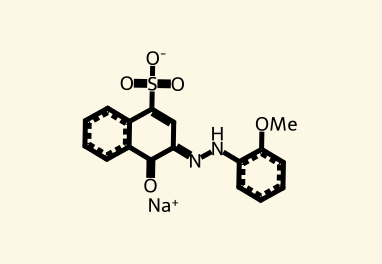 COc1ccccc1N/N=C1\C=C(S(=O)(=O)[O-])c2ccccc2C1=O.[Na+]